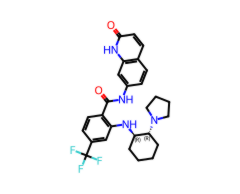 O=C(Nc1ccc2ccc(=O)[nH]c2c1)c1ccc(C(F)(F)F)cc1N[C@@H]1CCCC[C@H]1N1CCCC1